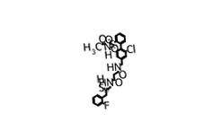 CC(=O)NS(=O)(=O)c1ccccc1-c1ccc(CNC(=O)CC(=O)NC[C@H](S)Cc2ccccc2F)cc1Cl